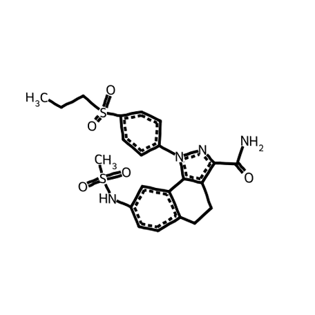 CCCS(=O)(=O)c1ccc(-n2nc(C(N)=O)c3c2-c2cc(NS(C)(=O)=O)ccc2CC3)cc1